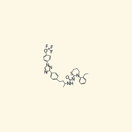 CCc1ccccc1N1CCCS/C1=N\C(=O)NC(C)CCc1ccc(-c2ncn(-c3ccc(OC(F)(F)F)cc3)n2)cc1